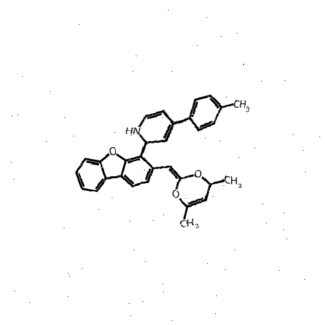 CC1=CC(C)O/C(=C/c2ccc3c(oc4ccccc43)c2C2C=C(c3ccc(C)cc3)C=CN2)O1